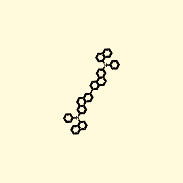 c1ccc(N(c2ccc3c(ccc4cc(-c5ccc6c(ccc7cc(N(c8ccccc8)c8cccc9ccccc89)ccc76)c5)ccc43)c2)c2cccc3ccccc23)cc1